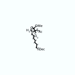 CCCCCCCCCCCCCCCCCN(C)C(C)(SC(C)=O)C(=O)OC